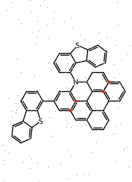 C1=CCC(N(c2cccc(-c3cccc4c3sc3ccccc34)c2)c2cccc3sc4ccccc4c23)C(c2cccc3cccc(-c4ccccc4)c23)=C1